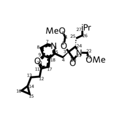 COCO[C@@]1(Cc2nccc3oc(CCC4CC4)cc23)C(=O)N(COC)[C@H]1CCC(C)C